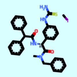 CI.CN(Cc1ccccc1)C(=O)[C@H](NC(=O)C(c1ccccc1)c1ccccc1)c1cccc(NC(N)=S)c1